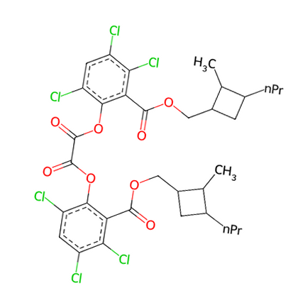 CCCC1CC(COC(=O)c2c(Cl)c(Cl)cc(Cl)c2OC(=O)C(=O)Oc2c(Cl)cc(Cl)c(Cl)c2C(=O)OCC2CC(CCC)C2C)C1C